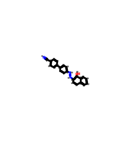 N#Cc1ccc(-c2ccc(N=Nc3ccc4ccccc4c3O)cc2)cc1